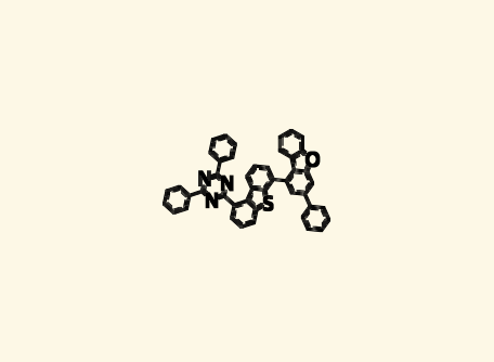 c1ccc(-c2cc(-c3cccc4c3sc3cccc(-c5nc(-c6ccccc6)nc(-c6ccccc6)n5)c34)c3c(c2)oc2ccccc23)cc1